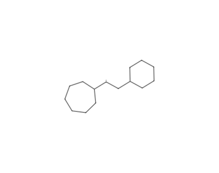 [CH](CC1CCCCC1)C1CCCCCC1